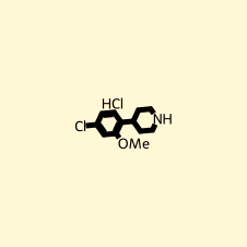 COc1cc(Cl)ccc1C1CCNCC1.Cl